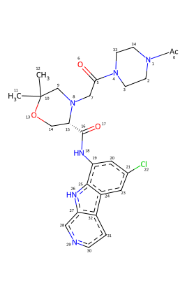 CC(=O)N1CCN(C(=O)CN2CC(C)(C)OC[C@H]2C(=O)Nc2cc(Cl)cc3c2[nH]c2cnccc23)CC1